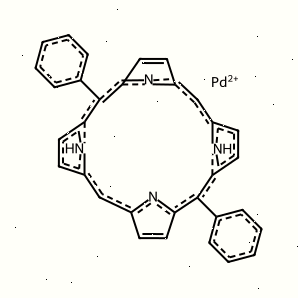 C1=Cc2nc1cc1ccc([nH]1)c(-c1ccccc1)c1nc(cc3ccc([nH]3)c2-c2ccccc2)C=C1.[Pd+2]